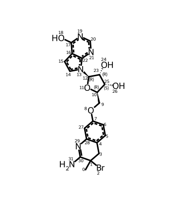 CC1(Br)Cc2ccc(OC[C@H]3O[C@@H](n4ccc5c(O)ncnc54)[C@H](O)[C@@H]3O)cc2N=C1N